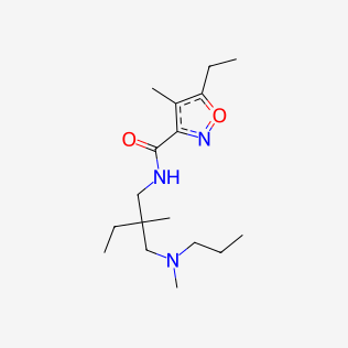 CCCN(C)CC(C)(CC)CNC(=O)c1noc(CC)c1C